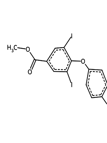 COC(=O)c1cc(I)c(Oc2ccc(I)cc2)c(I)c1